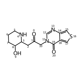 O=C(CC1NCCCC1O)Cn1cnc2cscc2c1=O